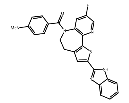 CNc1ccc(C(=O)N2CCc3cc(-c4nc5ccccc5[nH]4)sc3-c3ncc(F)cc32)cc1